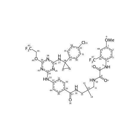 COc1ccc(NC(=O)C(=O)NCC(C)(C)CNC(=O)c2ccc(Nc3nc(NC4(c5ccc(Cl)cc5)CC4)nc(OCC(F)(F)F)n3)cc2)c(C(F)(F)F)c1